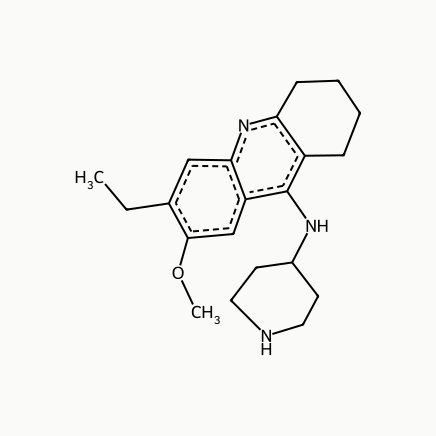 CCc1cc2nc3c(c(NC4CCNCC4)c2cc1OC)CCCC3